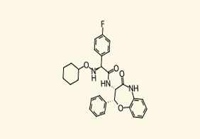 O=C(N[C@@H]1C(=O)Nc2ccccc2O[C@@H]1c1ccccc1)[C@@H](NOC1CCCCC1)c1ccc(F)cc1